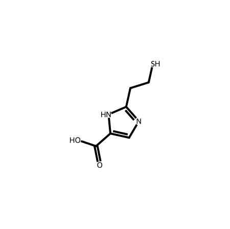 O=C(O)c1cnc(CCS)[nH]1